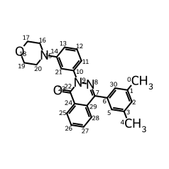 Cc1cc(C)cc(-c2nn(-c3cccc(N4CCOCC4)c3)c(=O)c3ccccc23)c1